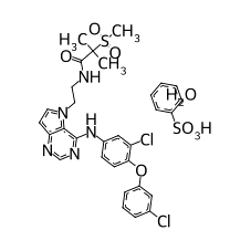 CC(C)(C(=O)NCCn1ccc2ncnc(Nc3ccc(Oc4cccc(Cl)c4)c(Cl)c3)c21)S(C)(=O)=O.O.O=S(=O)(O)c1ccccc1